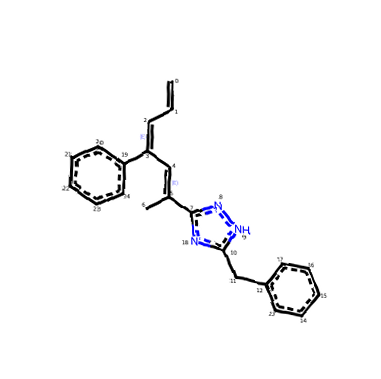 C=C/C=C(\C=C(/C)c1n[nH]c(Cc2ccccc2)n1)c1ccccc1